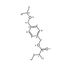 CCC(C)C(=O)OCc1ccc(COC(C)C)cc1